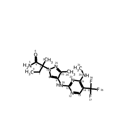 CCC(C)(C(N)=O)n1cc(Nc2ncc(C(F)(F)F)c(NC)n2)c(C)n1